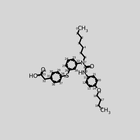 CCCCCCCN(C(=O)Nc1ccc(OCCCC)cc1)c1cccc(Sc2ccc(CC(=O)O)cc2)c1